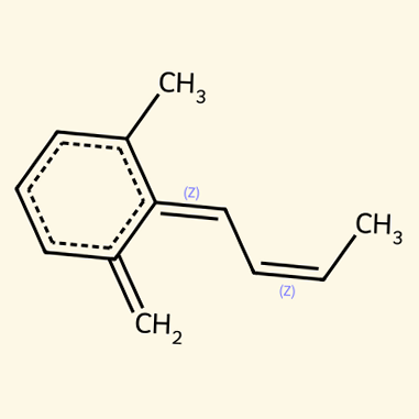 C=c1cccc(C)/c1=C/C=C\C